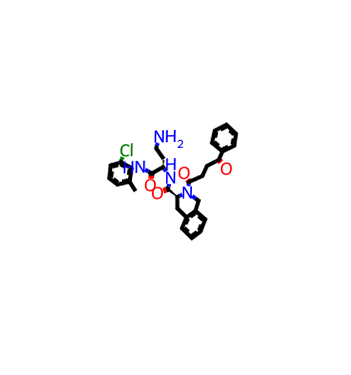 Cc1cccc(Cl)c1NC(=O)[C@H](CCN)NC(=O)[C@@H]1Cc2ccccc2CN1C(=O)CCC(=O)c1ccccc1